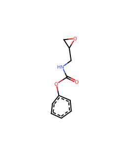 O=C(NCC1CO1)Oc1ccccc1